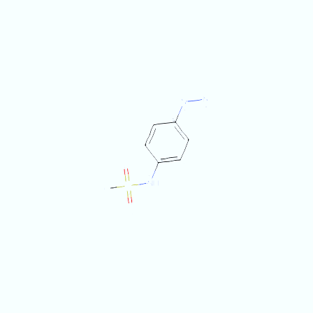 CS(=O)(=O)Nc1ccc(NN)cc1